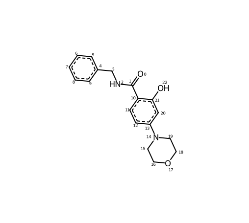 O=C(NCc1ccccc1)c1ccc(N2CCOCC2)cc1O